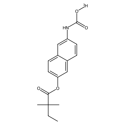 [3H]OC(=O)Nc1ccc2cc(OC(=O)C(C)(C)CC)ccc2c1